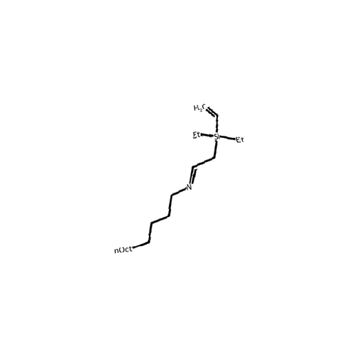 C=C[Si](CC)(CC)CC=NCCCCCCCCCCCC